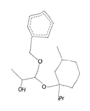 CC1CCCC(OC(OCc2ccccc2)C(C)O)(C(C)C)C1